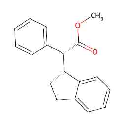 COC(=O)[C@@H](c1ccccc1)[C@H]1CCc2ccccc21